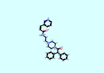 O=C(/C=C\c1cccnc1)NCCN1CCN(C(=O)C(c2ccccc2)c2ccccc2)CC1